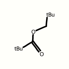 [CH2]C(C)(C)COC(=O)C(C)(C)C